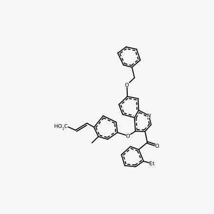 CCc1ccccc1C(=O)c1cnc2cc(OCc3ccccc3)ccc2c1Oc1ccc(/C=C/C(=O)O)c(C)c1